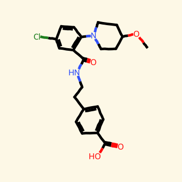 COC1CCN(c2ccc(Cl)cc2C(=O)NCCc2ccc(C(=O)O)cc2)CC1